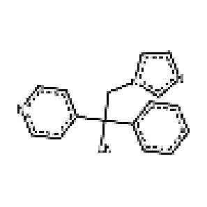 N#CC(Cn1ccnc1)(c1ccccc1)c1ccncc1